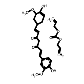 C=CCOC(=O)OCC=C.COc1cc(C=CC(=O)CC(=O)C=CC2CC=C(O)C(OC)C2)ccc1O